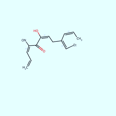 C=C/C=C(/N=O)C(=O)/C(O)=C\CC(/C=C\C)=C/CC